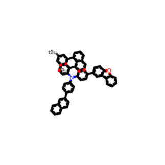 CC(C)(C)c1cc(-c2cccc3cccc(-c4ccccc4N(c4ccc(-c5ccc6ccccc6c5)cc4)c4ccc(-c5ccc6oc7ccccc7c6c5)cc4)c23)cc(C(C)(C)C)c1